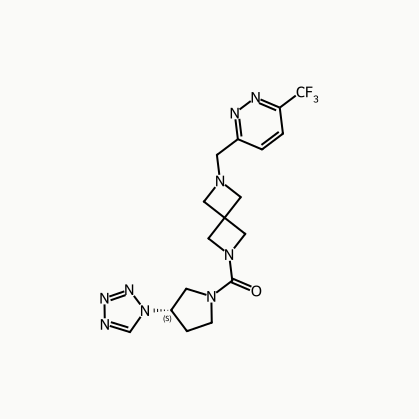 O=C(N1CC[C@H](n2cnnn2)C1)N1CC2(CN(Cc3ccc(C(F)(F)F)nn3)C2)C1